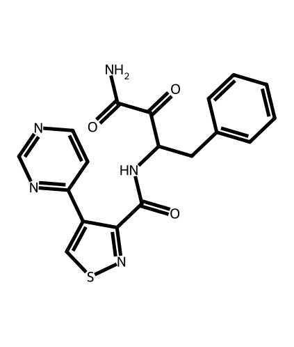 NC(=O)C(=O)C(Cc1ccccc1)NC(=O)c1nscc1-c1ccncn1